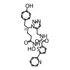 O=C(CC[C@@H](Cc1ccc(O)cc1)n1nncc1CNS(=O)(=O)c1ccc(-c2ccccn2)s1)NO